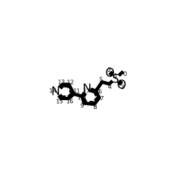 CS(=O)(=O)CCc1cccc(-c2ccncc2)n1